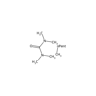 CCCCCC.CN(C)C(=O)N(C)C